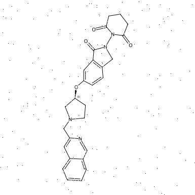 O=C1c2cc(O[C@H]3CCN(Cc4cc5ccccc5cn4)C3)ccc2CN1N1C(=O)CCCC1=O